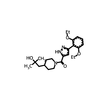 CCOc1cccc(OCC)c1-c1cc(C(=O)N2CCC(CC(C)(C)O)CC2)[nH]n1